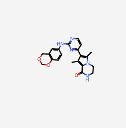 Cc1c(-c2ccnc(Nc3ccc4c(c3)COCO4)n2)c(C)n2c1C(=O)NCC2